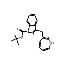 CC(C)(C)OC(=O)n1nc(CC2=NNC=CC=C2)c2ccccc21